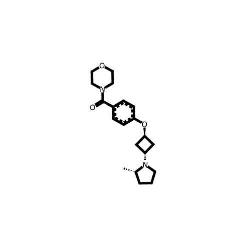 C[C@H]1CCCN1[C@H]1C[C@H](Oc2ccc(C(=O)N3CCOCC3)cc2)C1